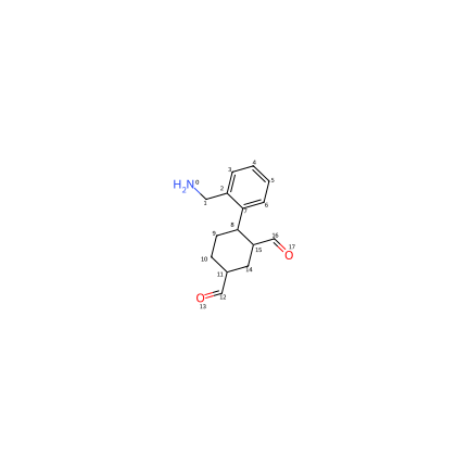 NCc1ccccc1C1CCC(C=O)CC1C=O